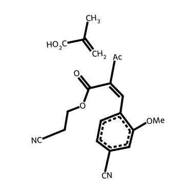 C=C(C)C(=O)O.COc1cc(C#N)ccc1C=C(C(C)=O)C(=O)OCCC#N